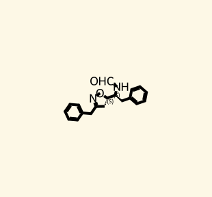 O=CN[C@@H](Cc1ccccc1)[C@@H]1CC(Cc2ccccc2)=NO1